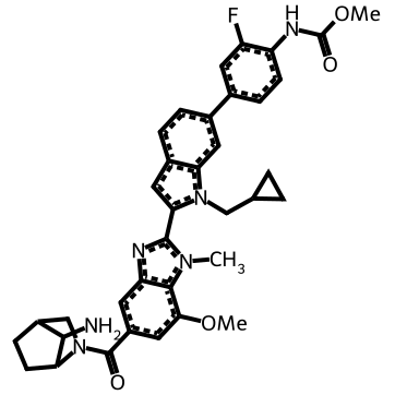 COC(=O)Nc1ccc(-c2ccc3cc(-c4nc5cc(C(=O)N6CC7CCC6C7N)cc(OC)c5n4C)n(CC4CC4)c3c2)cc1F